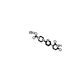 CC(C)(C)OC(=O)N1CCN(c2ccc([C@@H]3CCC(=O)NC3=O)cn2)CC1